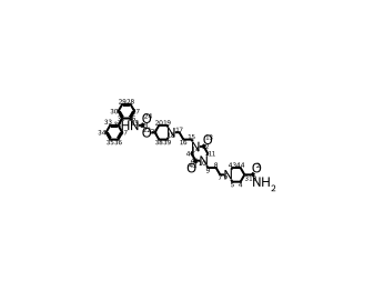 NC(=O)C1CCN(CCCN2CC(=O)N(CCCN3CCC(OC(=O)Nc4ccccc4-c4ccccc4)CC3)CC2=O)CC1